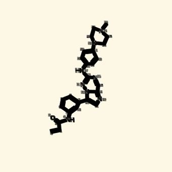 C=CC(=O)Nc1cccc(-c2cnc3cnc(Nc4ccc(N5CCN(C)CC5)cc4)nn23)c1